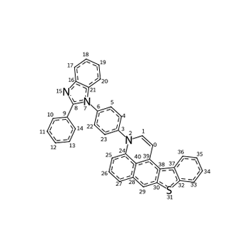 C1=CN(c2ccc(-n3c(-c4ccccc4)nc4ccccc43)cc2)c2cccc3cc4sc5ccccc5c4c1c23